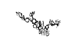 COc1cc(N2CCC(N3CCN(C)CC3)CC2)c(-c2cnn(C)c2)cc1Nc1ncc(Br)c(Nc2ccc(-n3cc(C(F)(F)F)cn3)cc2P(C)(C)=O)n1